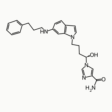 NC(=O)c1cn([C@H](O)CCCn2ccc3ccc(NCCCc4ccccc4)cc32)cn1